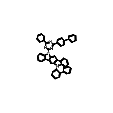 c1ccc(-c2ccc(-c3nc(-c4ccccc4)nc(-n4c5ccccc5c5cc6c(cc54)c4ccccc4n6-c4ccccc4-c4ccccc4)n3)cc2)cc1